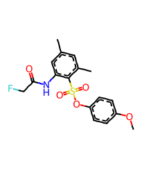 COc1ccc(OS(=O)(=O)c2c(C)cc(C)cc2NC(=O)CF)cc1